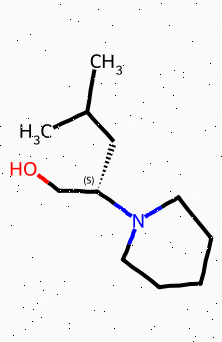 CC(C)C[C@@H](CO)N1CCCCC1